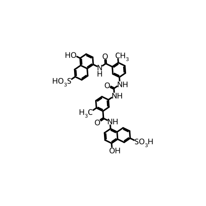 Cc1ccc(NC(=O)Nc2ccc(C)c(C(=O)Nc3ccc(O)c4cc(S(=O)(=O)O)ccc34)c2)cc1C(=O)Nc1ccc(O)c2cc(S(=O)(=O)O)ccc12